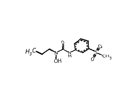 CCCN(O)C(=O)Nc1cccc(S(C)(=O)=O)c1